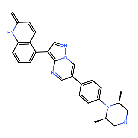 C=C1C=Cc2c(cccc2-c2cnn3cc(-c4ccc(N5[C@H](C)CNC[C@@H]5C)cc4)cnc23)N1